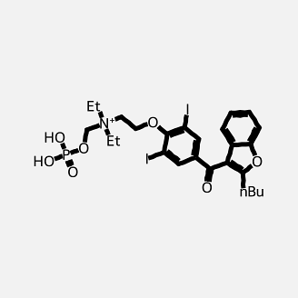 CCCCc1oc2ccccc2c1C(=O)c1cc(I)c(OCC[N+](CC)(CC)COP(=O)(O)O)c(I)c1